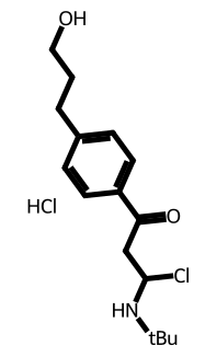 CC(C)(C)NC(Cl)CC(=O)c1ccc(CCCO)cc1.Cl